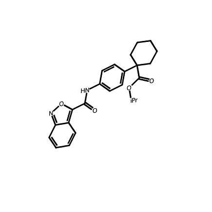 CC(C)OC(=O)C1(c2ccc(NC(=O)c3onc4ccccc34)cc2)CCCCC1